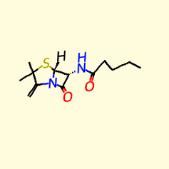 C=C1N2C(=O)[C@@H](NC(=O)CCCC)[C@H]2SC1(C)C